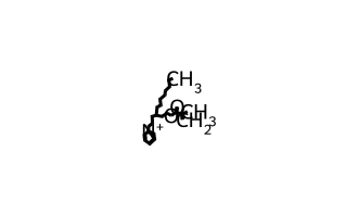 C=C(C)C(=O)OCCC(CCCCCCCC)CCC[n+]1ccccc1